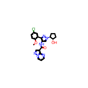 COc1ccc(Cl)cc1-c1nn([C@H]2CCC[C@@H]2O)cc1NC(=O)c1cnn2cccnc12